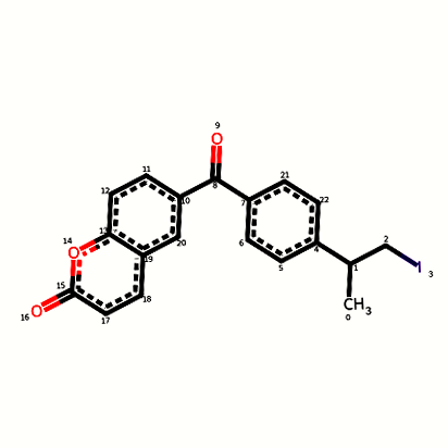 CC(CI)c1ccc(C(=O)c2ccc3oc(=O)ccc3c2)cc1